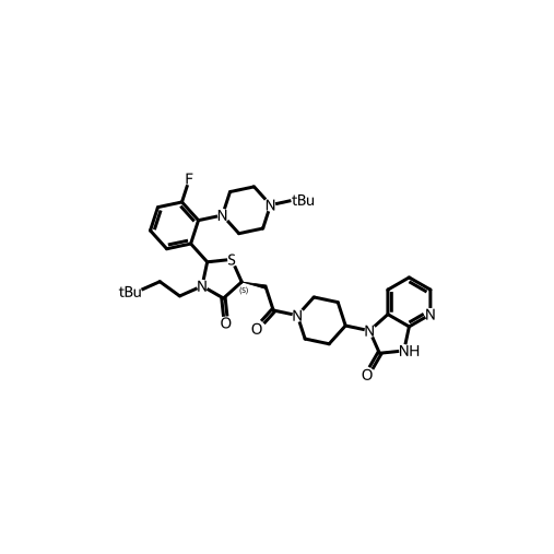 CC(C)(C)CCN1C(=O)[C@H](CC(=O)N2CCC(n3c(=O)[nH]c4ncccc43)CC2)SC1c1cccc(F)c1N1CCN(C(C)(C)C)CC1